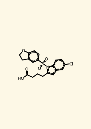 O=C(O)CCCc1cc2cc(Cl)ccc2n1S(=O)(=O)c1ccc2c(c1)CCO2